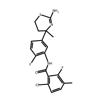 Cc1ccc(Cl)c(C(=O)Nc2cc(C3(C)CCSC(N)=N3)ccc2F)c1F